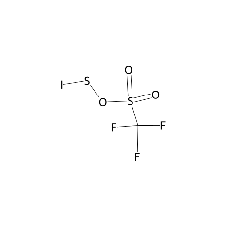 O=S(=O)(OSI)C(F)(F)F